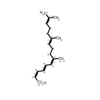 CC(C)=CCC/C(C)=C/CC\C(C)=C/C=C/C=C\C(=O)O